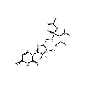 CC(C)OP(=O)(OC[C@H]1O[C@@H](n2ccc(=O)[nH]c2=O)[C@](C)(Cl)[C@@H]1O)N(C(C)C)C(C)C